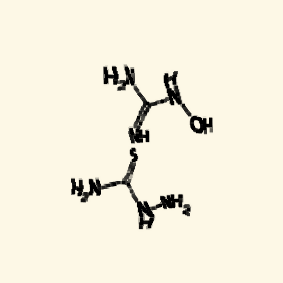 N=C(N)NO.NNC(N)=S